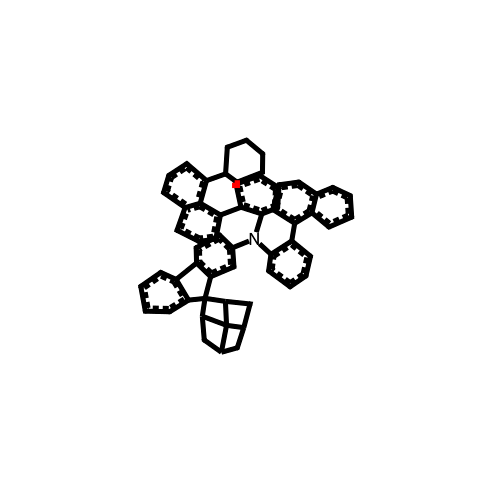 c1ccc(N(c2ccc3c(c2)C2(c4ccccc4-3)C3CC4CC5CC2C453)c2ccccc2-c2cccc3cccc(C4CCCCC4)c23)c(-c2cccc3ccccc23)c1